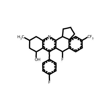 CC1Cc2nc(C3CCCC3)c(C(F)c3ccc(C(F)(F)F)cc3)c(-c3ccc(F)cc3)c2C(O)C1